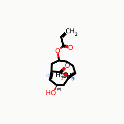 C=CC(=O)OC1CC/C=C(\C)C[C@@H](O)/C=C(\C(C)=O)C1